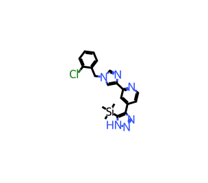 C[Si](C)(C)c1[nH]nnc1-c1ccnc(-c2cn(Cc3ccccc3Cl)cn2)c1